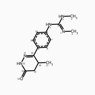 CN=C(NC)Nc1ccc(C2=NNC(=O)CC2C)cc1